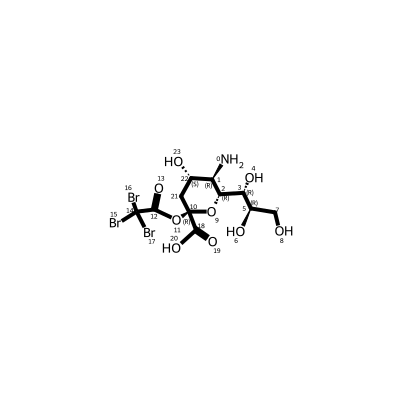 N[C@H]1[C@H]([C@H](O)[C@H](O)CO)O[C@](OC(=O)C(Br)(Br)Br)(C(=O)O)C[C@@H]1O